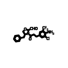 Nc1c(Cl)cc(CCC(=O)N2C(Cc3ccccc3)COC2C=O)cc1C(F)(F)F